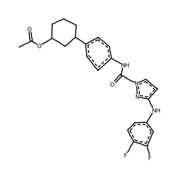 CC(=O)OC1CCCC(c2ccc(NC(=O)n3ccc(Nc4ccc(F)c(F)c4)n3)cc2)C1